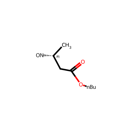 CCCCOC(=O)C[C@@H](C)N=O